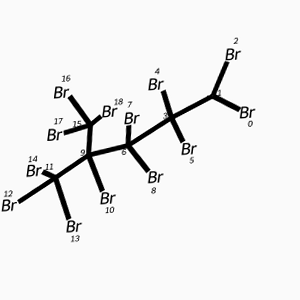 Br[C](Br)C(Br)(Br)C(Br)(Br)C(Br)(C(Br)(Br)Br)C(Br)(Br)Br